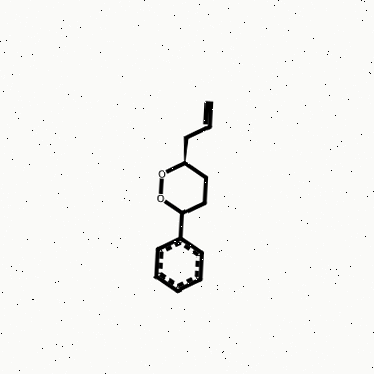 C=CC[C@H]1CCC(c2ccccc2)OO1